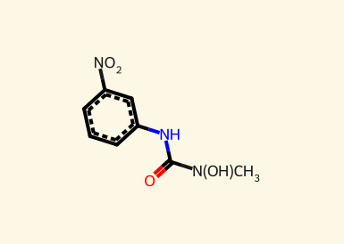 CN(O)C(=O)Nc1cccc([N+](=O)[O-])c1